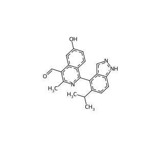 Cc1nc(-c2c(C(C)C)ccc3[nH]ncc23)c2ccc(O)cc2c1C=O